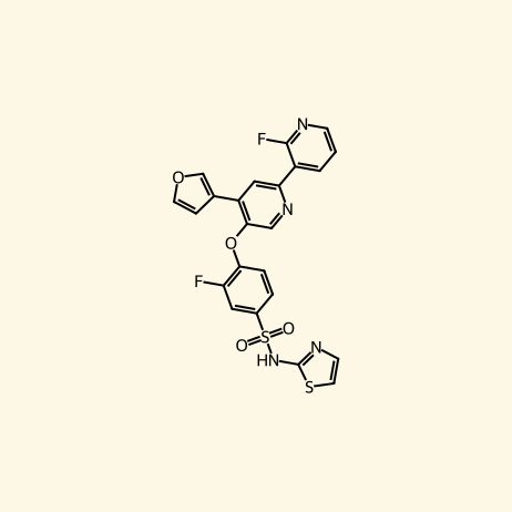 O=S(=O)(Nc1nccs1)c1ccc(Oc2cnc(-c3cccnc3F)cc2-c2ccoc2)c(F)c1